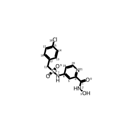 O=C(NO)c1cc(NS(=O)(=O)Cc2ccc(Cl)cc2)ccn1